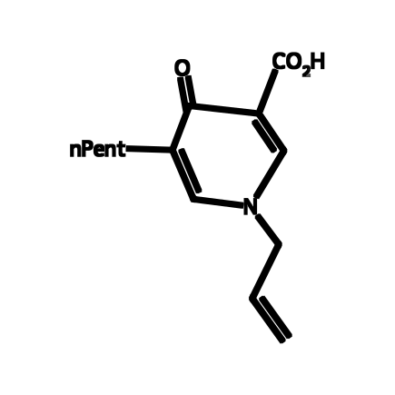 C=CCn1cc(CCCCC)c(=O)c(C(=O)O)c1